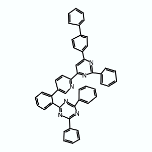 c1ccc(-c2ccc(-c3cc(-c4ccc(-c5ccccc5-c5nc(-c6ccccc6)nc(-c6ccccc6)n5)cn4)nc(-c4ccccc4)n3)cc2)cc1